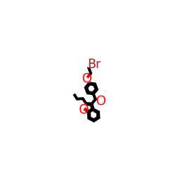 CCCc1oc2ccccc2c1C(=O)c1ccc(OCCBr)cc1